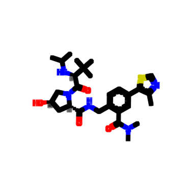 Cc1ncsc1-c1ccc(CNC(=O)[C@@H]2C[C@@H](O)CN2C(=O)[C@@H](NC(C)C)C(C)(C)C)c(C(=O)N(C)C)c1